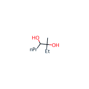 CCCC(O)C(C)(O)CC